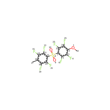 COc1c(F)c(F)c(S(=O)(=O)c2c(F)c(F)c(C)c(F)c2F)c(F)c1F